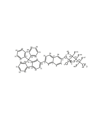 O=S(=O)(Oc1ccc2cc(-c3ccc4c(c3)C(c3ccccc3)(c3ccccc3)c3ccccc3-4)ccc2c1)C(F)(F)C(F)(F)C(F)(F)C(F)(F)F